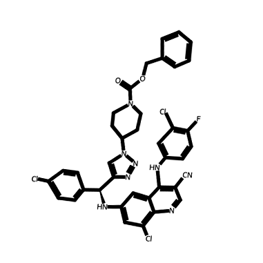 N#Cc1cnc2c(Cl)cc(N[C@@H](c3ccc(Cl)cc3)c3cn(C4CCN(C(=O)OCc5ccccc5)CC4)nn3)cc2c1Nc1ccc(F)c(Cl)c1